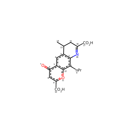 CCCc1c2c(cc3c(=O)cc(C(=O)O)oc13)C(C)CC(C(=O)O)=N2